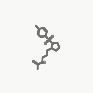 CC(=O)NCCCC1CCCN1S(=O)(=O)c1ccc(C)cc1